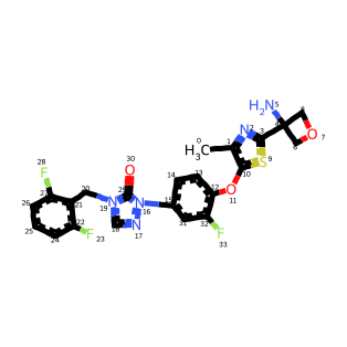 Cc1nc(C2(N)COC2)sc1Oc1ccc(-n2ncn(Cc3c(F)cccc3F)c2=O)cc1F